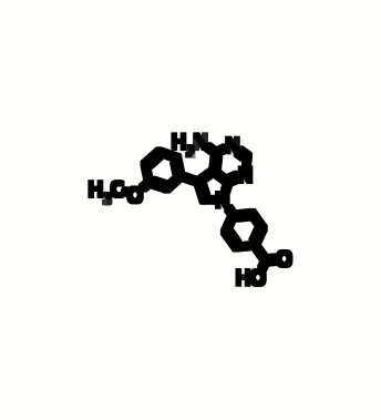 COc1cccc(-c2cn(-c3ccc(C(=O)O)cc3)c3ncnc(N)c23)c1